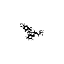 C[C@H](CCC[S+](C)[O-])N(c1cc(F)ccc1F)S(=O)(=O)c1ccc(Cl)cc1